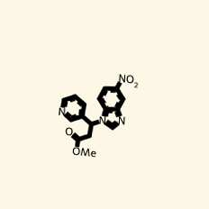 COC(=O)CC(c1cccnc1)n1cnc2cc([N+](=O)[O-])ccc21